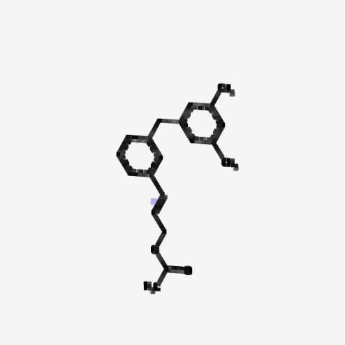 CC(=O)OC/C=C/c1cccc(Cc2cc(C)cc(C)c2)c1